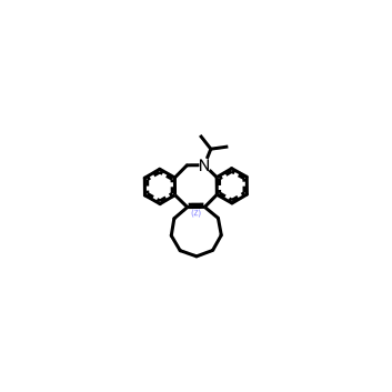 CC(C)N1Cc2ccccc2/C2=C(/CCCCCCC2)c2ccccc21